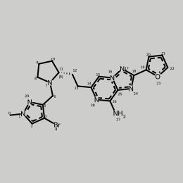 Cn1cc(Br)c(CN2CCC[C@@H]2CCc2cn3nc(-c4ccco4)nc3c(N)n2)n1